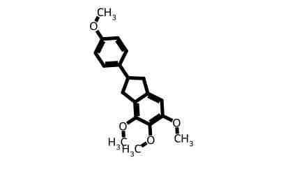 COc1ccc(C2Cc3cc(OC)c(OC)c(OC)c3C2)cc1